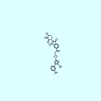 CN(C)c1ccnc(-c2cn([C@H]3C[C@H](CNc4ccc5c(c4)C(=O)N(C4CCC(=O)NC4=O)C5=O)C3)nc2C2CC2)c1